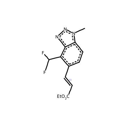 CCOC(=O)/C=C/c1ccc2c(nnn2C)c1C(F)F